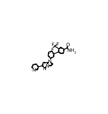 NC(=O)c1ccc(-c2cccc(-n3ccn4nc(-c5cccnc5)cc34)c2)c(C(F)(F)F)c1